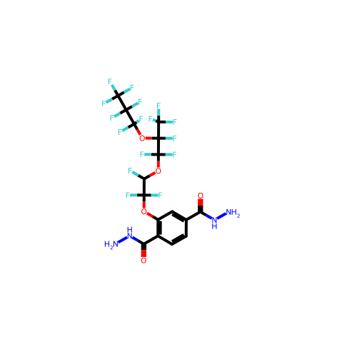 NNC(=O)c1ccc(C(=O)NN)c(OC(F)(F)C(F)OC(F)(F)C(F)(OC(F)(F)C(F)(F)C(F)(F)F)C(F)(F)F)c1